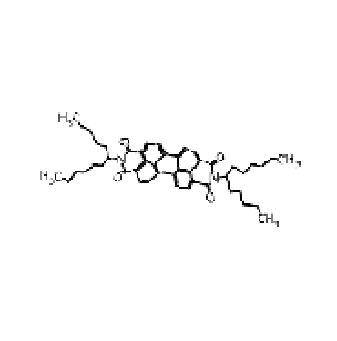 CCCCCCC(CCCCC)N1C(=O)c2ccc3c4ccc5c6c(ccc(c7ccc(c2c37)C1=O)c64)C(=O)N(C(CCCCC)CCCCCC)C5=O